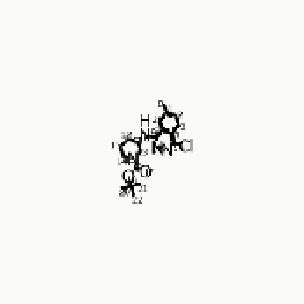 Cc1ccc2c(Cl)nnc(N[C@@H]3CCCN(C(=O)OC(C)(C)C)C3)c2c1